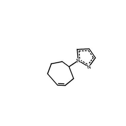 C1=CCC(n2cccn2)CCC1